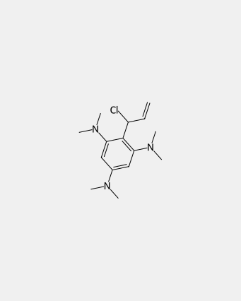 C=CC(Cl)c1c(N(C)C)cc(N(C)C)cc1N(C)C